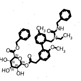 CCN(Cc1cc(C)ccc1-c1cc(CC(=O)O[C@@H]2O[C@H](C(=O)OCc3ccccc3)[C@@H](O)[C@H](O)[C@H]2O)ccc1OC)C(=O)NCc1ccccc1